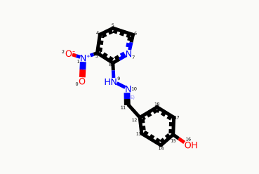 O=[N+]([O-])c1cccnc1N/N=C/c1ccc(O)cc1